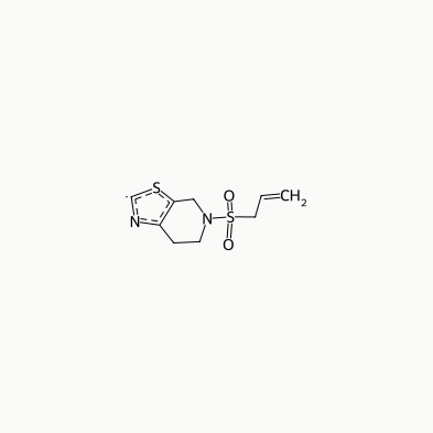 C=CCS(=O)(=O)N1CCc2n[c]sc2C1